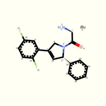 CC[C@H](C)[C@H](N)C(=O)N1CC(c2cc(F)ccc2F)=C[C@H]1c1ccccc1